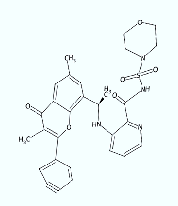 Cc1cc([C@@H](C)Nc2cccnc2C(=O)NS(=O)(=O)N2CCOCC2)c2oc(-c3cc#ccc3)c(C)c(=O)c2c1